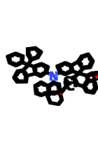 c1ccc(C2(c3ccccc3)c3ccccc3-c3cc(N(c4ccc5c(c4)C4(c6ccccc6-5)c5ccc(C6CCCCC6)cc5-c5cccc6cccc4c56)c4cccc5ccccc45)ccc32)cc1